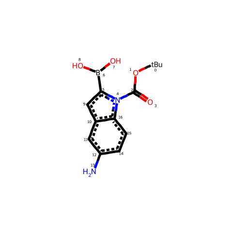 CC(C)(C)OC(=O)n1c(B(O)O)cc2cc(N)ccc21